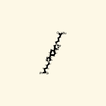 CCC(C)C(=O)CCCCn1cc(-c2ccc(-c3cn(CCCCC(=O)C(C)C)nn3)cc2)nn1